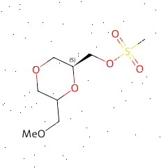 COCC1COC[C@@H](COS(C)(=O)=O)O1